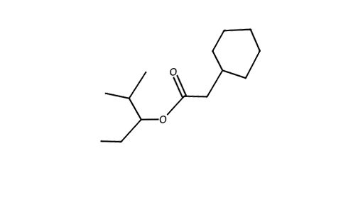 CCC(OC(=O)CC1CCCCC1)C(C)C